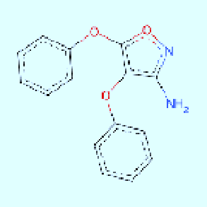 Nc1noc(Oc2ccccc2)c1Oc1ccccc1